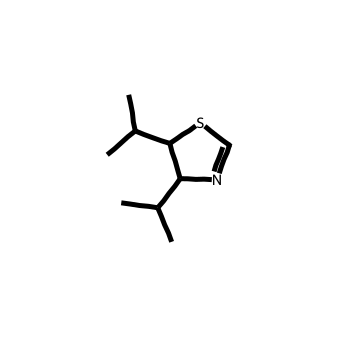 CC(C)C1N=CSC1C(C)C